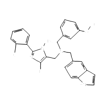 CCCCn1c(-c2ccccc2C)nc(F)c1CN(Cc1cccc(OCC)c1)Cc1ccc2[nH]ccc2c1